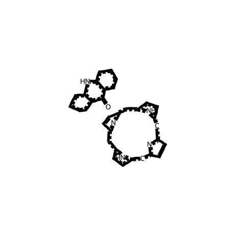 C1=Cc2cc3ccc(cc4nc(cc5ccc(cc1n2)[nH]5)C=C4)[nH]3.O=c1c2ccccc2[nH]c2ccccc12